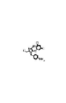 CC(C)c1nc(CO)n(Cc2ccc(N)cc2)c1Sc1cc(Cl)cc(Cl)c1